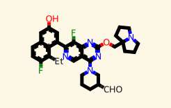 CCc1c(F)ccc2cc(O)cc(-c3ncc4c(N5CCCC(C=O)C5)nc(OCC56CCCN5CCC6)nc4c3F)c12